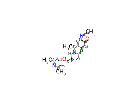 Cc1cc(OC[C@@H]2CCCN(C(C)c3cc4nc(C)oc4cc3F)C2)cc(C)n1